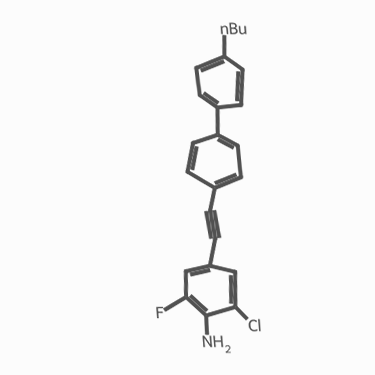 CCCCc1ccc(-c2ccc(C#Cc3cc(F)c(N)c(Cl)c3)cc2)cc1